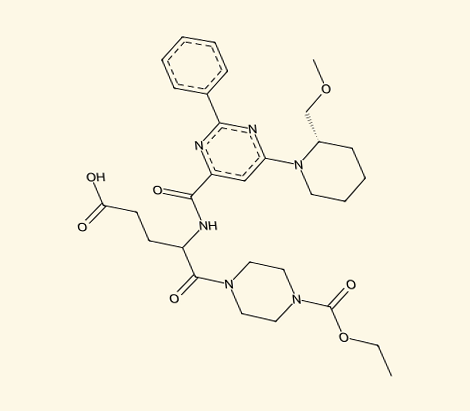 CCOC(=O)N1CCN(C(=O)C(CCC(=O)O)NC(=O)c2cc(N3CCCC[C@H]3COC)nc(-c3ccccc3)n2)CC1